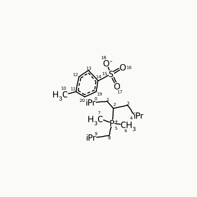 CC(C)CC(CC(C)C)[P+](C)(C)CC(C)C.Cc1ccc(S(=O)(=O)[O-])cc1